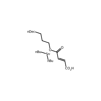 CCCCCCCCCCCCCOC(=O)C=CC(=O)O.CCC[CH2][Sn][CH2]CCC